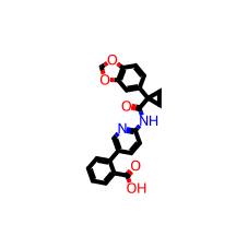 O=C(O)c1ccccc1-c1ccc(NC(=O)C2(c3ccc4c(c3)OCO4)CC2)nc1